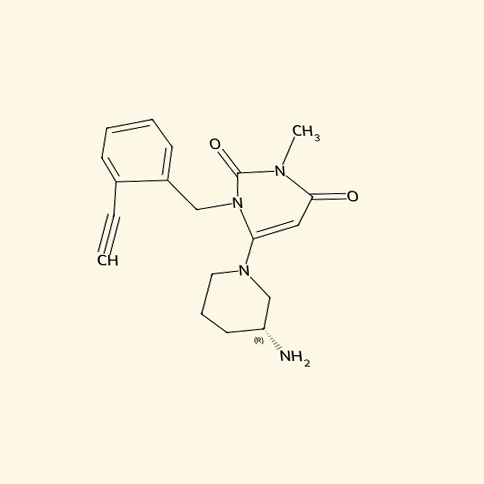 C#Cc1ccccc1Cn1c(N2CCC[C@@H](N)C2)cc(=O)n(C)c1=O